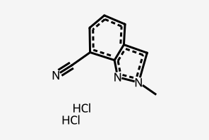 Cl.Cl.Cn1cc2cccc(C#N)c2n1